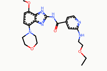 CCOCCNc1cc(C(=O)Nc2nc3c(N4CCOCC4)ccc(OC)c3[nH]2)ccn1